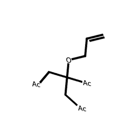 C=CCOC(CC(C)=O)(CC(C)=O)C(C)=O